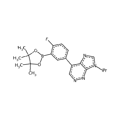 CC(C)n1cnc2c(-c3ccc(F)c(B4OC(C)(C)C(C)(C)O4)c3)cnnc21